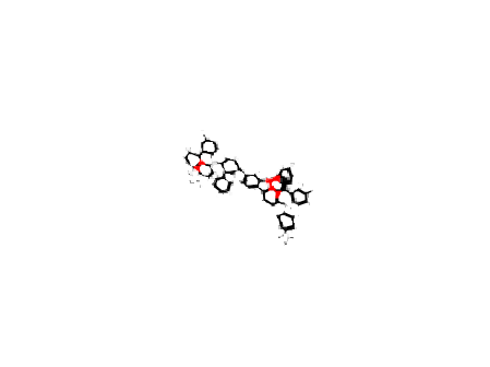 Cc1ccc(N(c2ccc([Si](C)(C)C)cc2)c2ccc3c4cc5c(cc4n4c6ccccc6c2c34)c2ccc(N(c3ccc([Si](C)(C)C)cc3)c3ccc(C)cc3-c3ccccc3)c3c4ccccc4n5c23)c(-c2ccccc2)c1